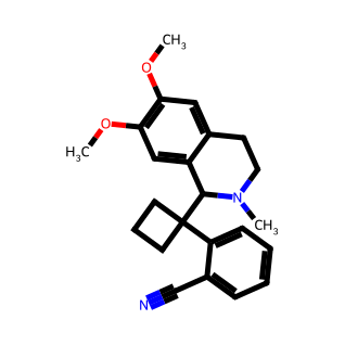 COc1cc2c(cc1OC)C(C1(c3ccccc3C#N)CCC1)N(C)CC2